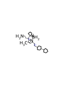 Bn1cccc1/C(CCN)=C1N=C(/C=C/c2ccc(-c3ccccc3)cc2)C=C\1C